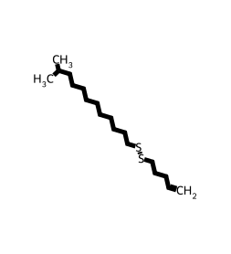 C=CCCCSSCCCCCCCCCCC(C)C